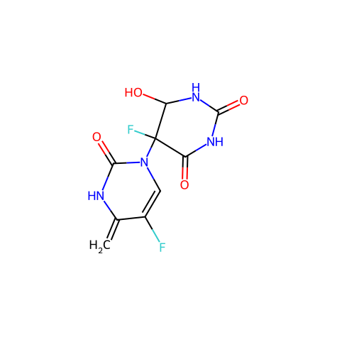 C=C1NC(=O)N(C2(F)C(=O)NC(=O)NC2O)C=C1F